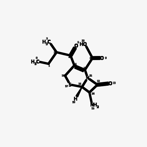 CCC(C)C(=O)C1=C(C(=O)O)N2C(=O)C(N)[C@@H]2SC1